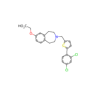 O=C(O)COc1ccc2c(c1)CCN(Cc1ccc(-c3ccc(Cl)cc3Cl)s1)CC2